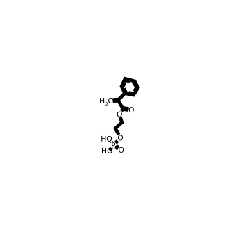 C=C(C(=O)OCCOP(=O)(O)O)c1ccccc1